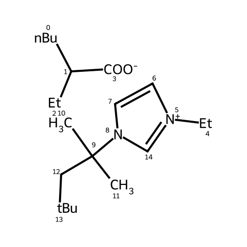 CCCCC(CC)C(=O)[O-].CC[n+]1ccn(C(C)(C)CC(C)(C)C)c1